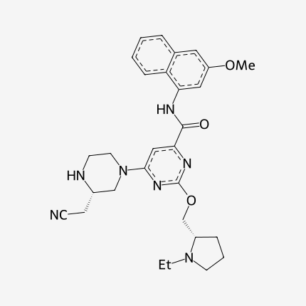 CCN1CCC[C@H]1COc1nc(C(=O)Nc2cc(OC)cc3ccccc23)cc(N2CCN[C@@H](CC#N)C2)n1